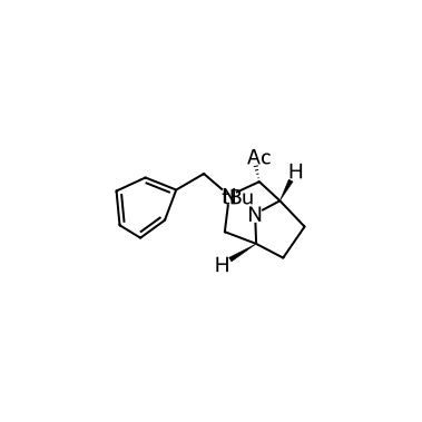 CC(=O)[C@@H]1[C@@H]2CC[C@H](CN1Cc1ccccc1)N2C(C)(C)C